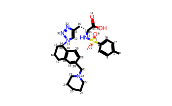 Cc1ccc(S(=O)(=O)N[C@H](Cc2cn([C@@H]3CCCc4cc(CN5CCCCC5)ccc43)nn2)C(=O)O)cc1